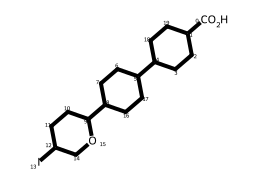 O=C(O)C1CCC(C2CCC(C3CCC(I)CO3)CC2)CC1